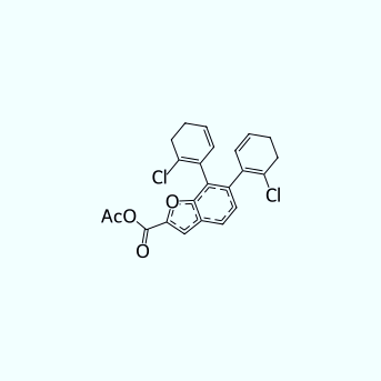 CC(=O)OC(=O)c1cc2ccc(C3=C(Cl)CCC=C3)c(C3=C(Cl)CCC=C3)c2o1